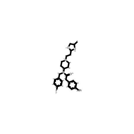 CC1COC(CCN2CCC(N(Cc3ccc(F)cc3)C(=O)Cc3ccc(C(C)C)cc3)CC2)O1